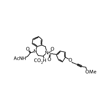 COCC#CCOc1ccc(S(=O)(=O)N2Cc3ccccc3N(C(=O)CNC(C)=O)CC2C(=O)O)cc1